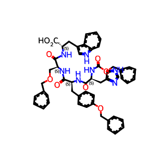 O=C(N[C@@H](Cc1c[nH]cn1)C(=O)N[C@@H](Cc1ccc(OCc2ccccc2)cc1)C(=O)N[C@@H](COCc1ccccc1)C(=O)N[C@@H](Cc1c[nH]c2ccccc12)C(=O)O)OCc1ccccc1